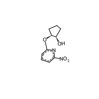 O=[N+]([O-])c1cccc(O[C@H]2CCC[C@H]2O)n1